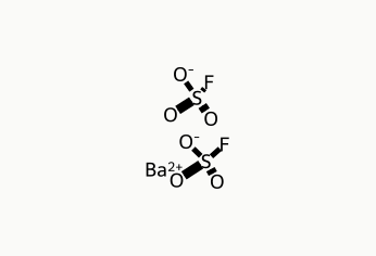 O=S(=O)([O-])F.O=S(=O)([O-])F.[Ba+2]